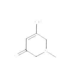 CN1CC(=O)C=C(O)C1